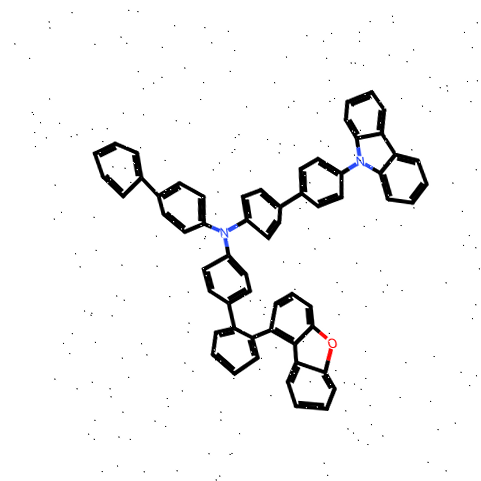 c1ccc(-c2ccc(N(c3ccc(-c4ccc(-n5c6ccccc6c6ccccc65)cc4)cc3)c3ccc(-c4ccccc4-c4cccc5oc6ccccc6c45)cc3)cc2)cc1